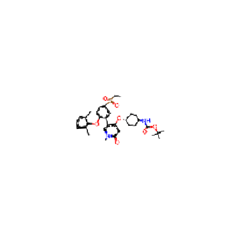 CCS(=O)(=O)c1ccc(Oc2c(C)cccc2C)c(-c2cn(C)c(=O)cc2O[C@H]2CC[C@H](NC(=O)OC(C)(C)C)CC2)c1